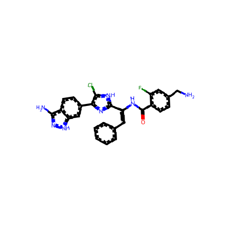 NCc1ccc(C(=O)NC(=Cc2ccccc2)c2nc(-c3ccc4c(N)n[nH]c4c3)c(Cl)[nH]2)c(F)c1